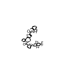 Cc1cccc(F)c1NC(=O)c1cc2c(s1)-c1ccccc1N(C(=O)c1cccc(N3C[C@@H]4CC(F)(F)C[C@@H]4C3)n1)CC2